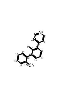 Cc1c(-c2ccncn2)cccc1-c1ccccc1C#N